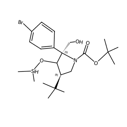 C[SiH](C)OC1[C@H](C(C)(C)C)CN(C(=O)OC(C)(C)C)[C@]1(CO)c1ccc(Br)cc1